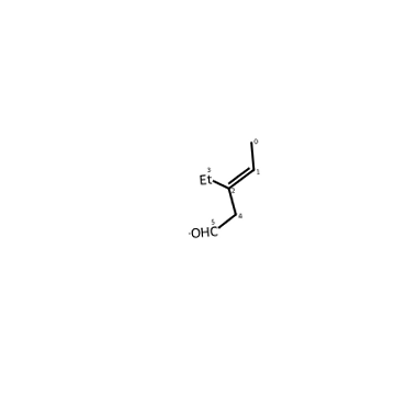 C/C=C(\CC)C[C]=O